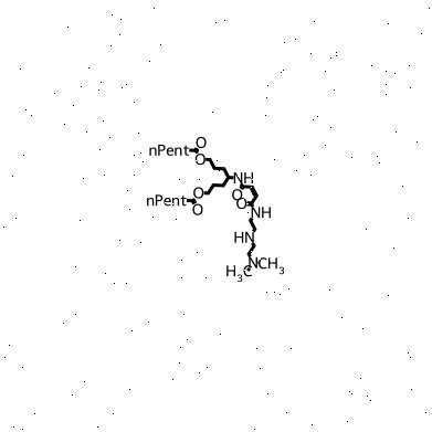 CCCCCC(=O)OCCCC(CCCOC(=O)CCCCC)NC(=O)/C=C\C(=O)NCCNCCN(C)C